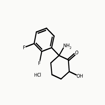 Cl.NC1(c2cccc(F)c2F)CCCC(O)C1=O